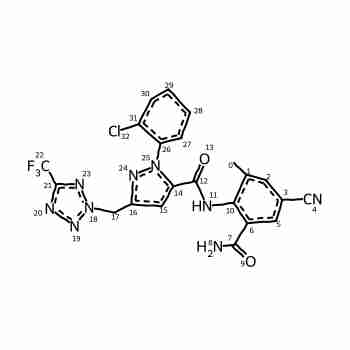 Cc1cc(C#N)cc(C(N)=O)c1NC(=O)c1cc(Cn2nnc(C(F)(F)F)n2)nn1-c1ccccc1Cl